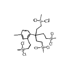 Cc1ccc(C(CC[Si](C)(Cl)Cl)(CC[Si](C)(Cl)Cl)CC[Si](C)(Cl)Cl)c(CC[Si](C)(Cl)Cl)c1